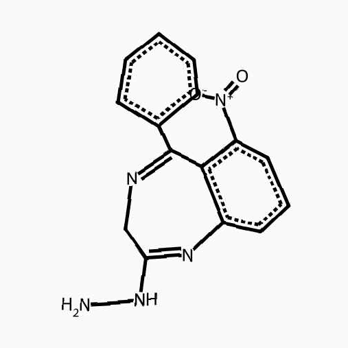 NNC1=Nc2cccc([N+](=O)[O-])c2C(c2ccccc2)=NC1